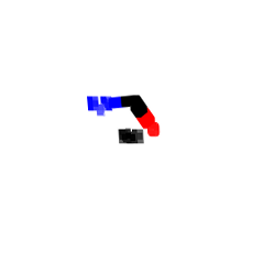 NC=O.[RbH]